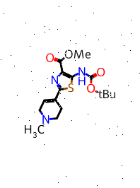 COC(=O)c1nc(C2=CCN(C)CC2)sc1NC(=O)OC(C)(C)C